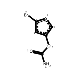 NC(=O)Oc1csc(Br)c1